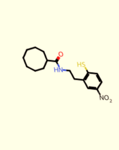 O=C(NCCc1cc([N+](=O)[O-])ccc1S)C1CCCCCCC1